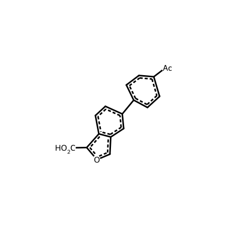 CC(=O)c1ccc(-c2ccc3c(C(=O)O)occ3c2)cc1